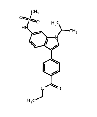 CCOC(=O)c1ccc(-c2cn(C(C)C)c3cc(NS(C)(=O)=O)ccc23)cc1